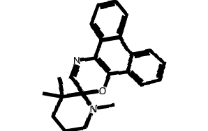 CN1CCCC(C)(C)C12C=Nc1c(c3ccccc3c3ccccc13)O2